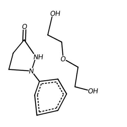 O=C1CCN(c2ccccc2)N1.OCCOCCO